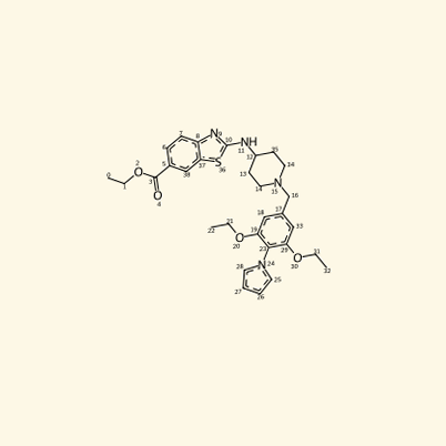 CCOC(=O)c1ccc2nc(NC3CCN(Cc4cc(OCC)c(-n5cccc5)c(OCC)c4)CC3)sc2c1